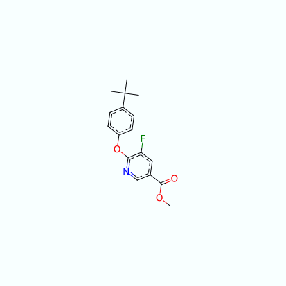 COC(=O)c1cnc(Oc2ccc(C(C)(C)C)cc2)c(F)c1